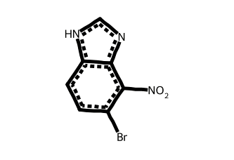 O=[N+]([O-])c1c(Br)ccc2[nH]cnc12